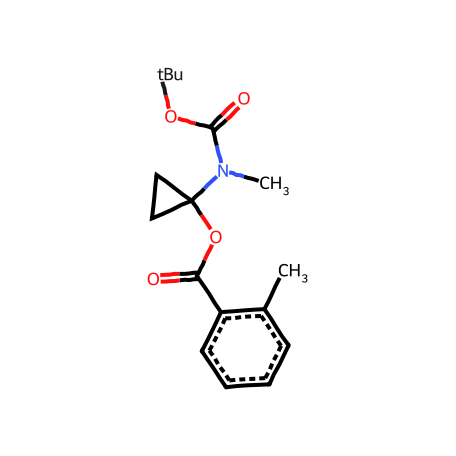 Cc1ccccc1C(=O)OC1(N(C)C(=O)OC(C)(C)C)CC1